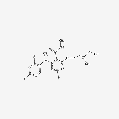 CNC(=O)c1c(OCC[C@@H](O)CO)cc(F)cc1N(C)c1ccc(I)cc1F